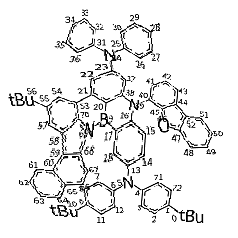 CC(C)(C)c1ccc(N(c2ccc(C(C)(C)C)cc2)c2ccc3c(c2)B2c4c(cc(N(c5ccccc5)c5ccccc5)cc4N3c3cccc4c3oc3ccccc34)-c3cc(C(C)(C)C)cc4c5c6ccccc6ccc5n2c34)cc1